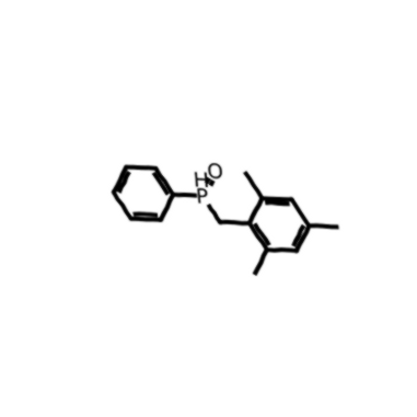 Cc1cc(C)c(C[PH](=O)c2ccccc2)c(C)c1